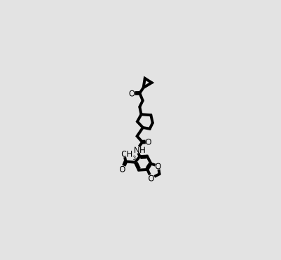 CC(=O)c1cc2c(cc1NC(=O)CC1CCCC(CCC(=O)C3CC3)C1)OCO2